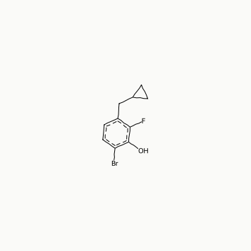 Oc1c(Br)ccc(CC2CC2)c1F